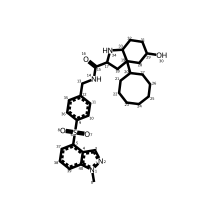 Cn1ncc2c(S(=O)(=O)c3ccc(CNC(=O)C4CC5(C6CCCCCCC6)CC(O)CCC5N4)cc3)cccc21